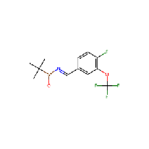 CC(C)(C)[S+]([O-])/N=C/c1ccc(F)c(OC(F)(F)F)c1